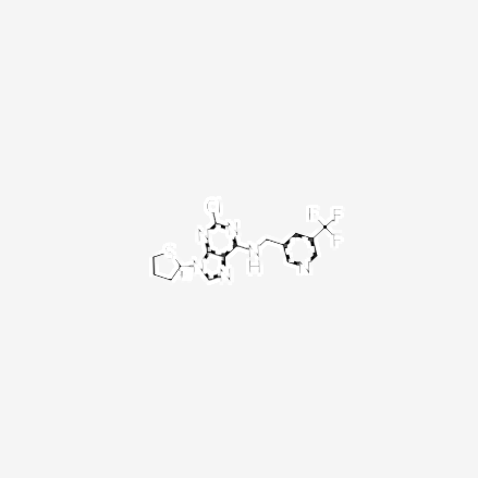 FC(F)(F)c1cncc(CNc2nc(Cl)nc3c2ncn3[C@H]2CCCS2)c1